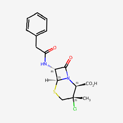 C[C@@]1(Cl)CS[C@H]2[C@H](NC(=O)Cc3ccccc3)C(=O)N2[C@H]1C(=O)O